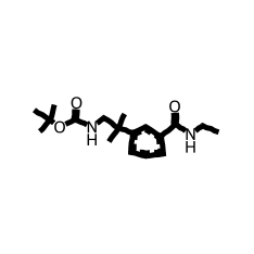 CCNC(=O)c1cccc(C(C)(C)CNC(=O)OC(C)(C)C)c1